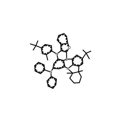 Cc1cc(C(C)(C)C)ccc1N1c2cc(N(c3ccccc3)c3ccccc3)cc3c2B(c2cc(C(C)(C)C)cc4c2N3C2(C)CCCCC42C)c2oc3ccccc3c21